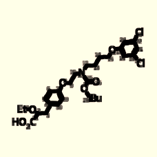 CCOC(Cc1ccc(OCCN(CCCCOc2cc(Cl)cc(Cl)c2)C(=O)OC(C)CC)cc1)C(=O)O